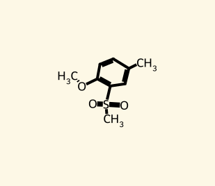 COc1ccc(C)cc1S(C)(=O)=O